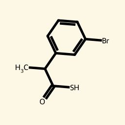 CC(C(=O)S)c1cccc(Br)c1